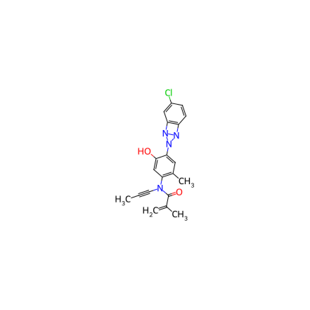 C=C(C)C(=O)N(C#CC)c1cc(O)c(-n2n3c4ccc(Cl)cc4n23)cc1C